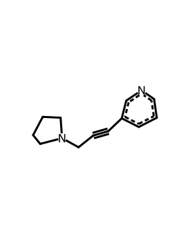 C(#Cc1cccnc1)CN1CCCC1